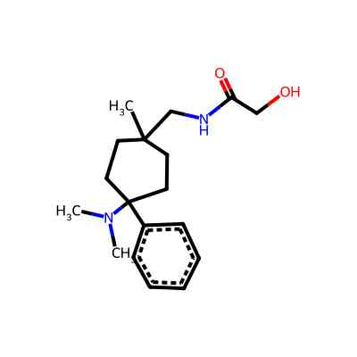 CN(C)C1(c2ccccc2)CCC(C)(CNC(=O)CO)CC1